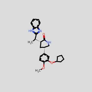 COc1ccc([C@H]2CNC(=O)[C@@H](C(C)c3nc4ccccc4[nH]3)C2)cc1OC1CCCC1